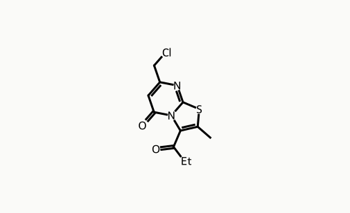 CCC(=O)c1c(C)sc2nc(CCl)cc(=O)n12